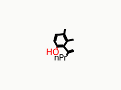 C=C(CCC)c1c(O)ccc(C)c1C